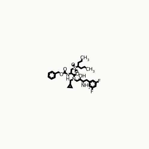 CCCC(CCC)S(=O)(=O)CC(NC(=O)OCc1ccccc1)C(=O)N(CC1CC1)C[C@@H](O)[C@@H](N)Cc1cc(F)cc(F)c1